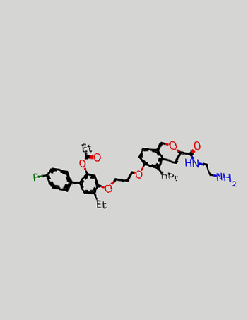 CCCc1c(OCCCOc2cc(OC(=O)CC)c(-c3ccc(F)cc3)cc2CC)ccc2c1CC(C(=O)NCCN)OC2